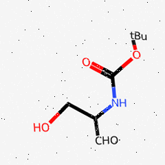 CC(C)(C)OC(=O)NC([C]=O)CO